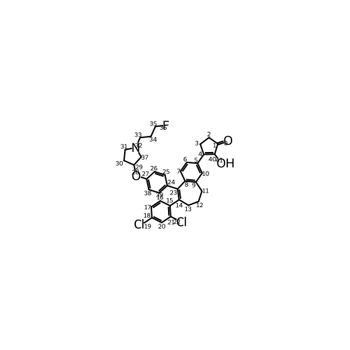 O=C1CCC(c2ccc3c(c2)CCCC(c2ccc(Cl)cc2Cl)=C3c2ccc(OC3CCN(CCCF)C3)cc2)=C1O